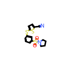 N#Cc1ccc(Sc2cccc(S(=O)(=O)N3CCCC3)c2)s1